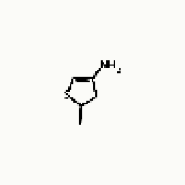 CC1CC(N)=CS1